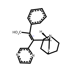 O=C(O)/C(=C(\c1cnccn1)[C@H]1CC2CCN1CC2)c1ccccc1